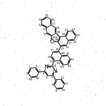 c1ccc(-c2cc(-c3ccccc3)nc(-c3ccc(-c4cc5ccccc5c5c4oc4cc6ccccc6cc45)c4ccccc34)n2)cc1